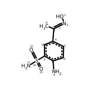 C/C(=N\O)c1ccc(N)c(S(N)(=O)=O)c1